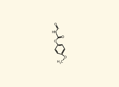 COc1ccc(OC(=O)N[C]=O)cc1